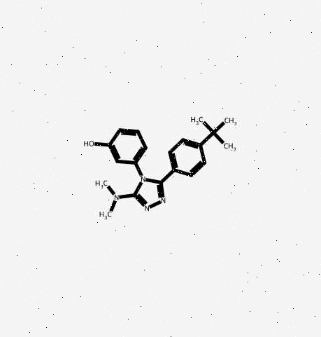 CN(C)c1nnc(-c2ccc(C(C)(C)C)cc2)n1-c1cccc(O)c1